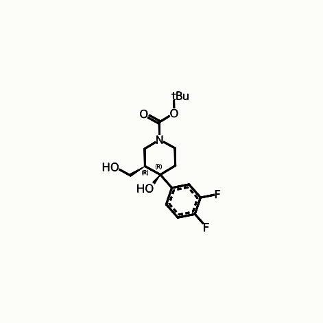 CC(C)(C)OC(=O)N1CC[C@](O)(c2ccc(F)c(F)c2)[C@@H](CO)C1